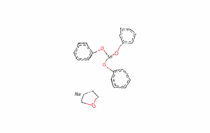 C1CCOC1.[Na].c1ccc([O][Sn]([O]c2ccccc2)[O]c2ccccc2)cc1